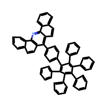 c1ccc(-c2c(-c3ccccc3)c(-c3ccccc3)c(-c3ccc(-c4c5ccc6ccccc6c5nc5c4ccc4ccccc45)cc3)c(-c3ccccc3)c2-c2ccccc2)cc1